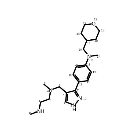 CNCCN(C)Cc1c[nH]nc1-c1ccc(N(C)CC2CCOCC2)cc1